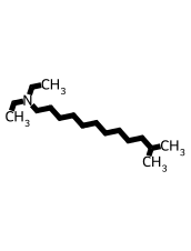 CCN(CC)CCCCCCCCCCC(C)C